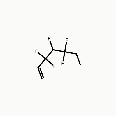 C=CC(F)(F)C(F)C(F)(F)CC